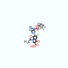 C[C@@H]1CN(c2c(F)cc3c(=O)c(C(=O)O)cn4c3c2OC[C@@H]4C)C[C@@H]1NC(=O)OC(C)(C)C